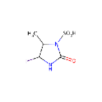 CC1C(I)NC(=O)N1S(=O)(=O)O